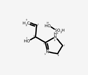 C=CC(O)C1=NCCN1.O=S(=O)(O)O